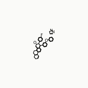 C1=CN=NC1.O=C1C=c2c3c(ccc2=C(c2cccc(Oc4ccccc4)c2)C1c1ccc(F)cc1)C1=C(CCC=C1)CC3